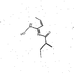 C/C=C\C(=N/C(=O)C(C)CC)NO